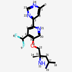 Cc1cc(-c2cc(C(F)F)c(OC[C@@](C)(N)CC(C)C)cn2)ncn1